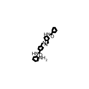 Nc1ccccc1NC(=O)c1ccc(CN2N=CC3C=C(NC(=O)c4ccccc4)C=CC32)cc1